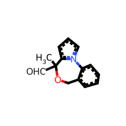 CC1(C=O)OCc2ccccc2-n2cccc21